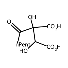 CCCCCC(=O)C(O)(C(=O)O)C(O)C(=O)O